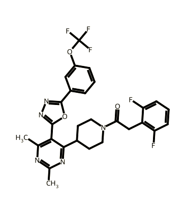 Cc1nc(C)c(-c2nnc(-c3cccc(OC(F)(F)F)c3)o2)c(C2CCN(C(=O)Cc3c(F)cccc3F)CC2)n1